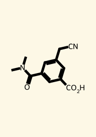 CN(C)C(=O)c1cc(CC#N)cc(C(=O)O)c1